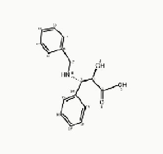 O=C(O)[C@H](O)[C@@H](NCc1ccccc1)c1ccccc1